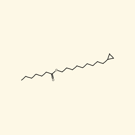 CCCCCCC(=O)OCCCCCCCCCC1CC1